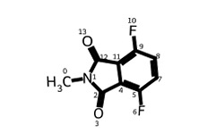 CN1C(=O)c2c(F)ccc(F)c2C1=O